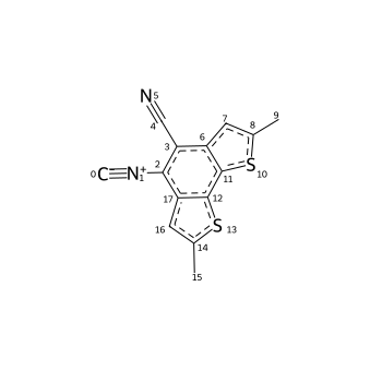 [C-]#[N+]c1c(C#N)c2cc(C)sc2c2sc(C)cc12